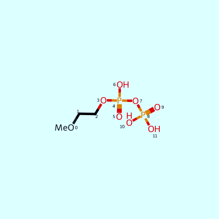 COCCOP(=O)(O)OP(=O)(O)O